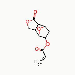 C=CC(=O)OC1CC2OC1C1COC(=O)C21